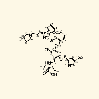 C[C@@](CO)(NCc1cc(Cl)c(OCc2cccc(-c3cccc4c3cnn4CCCN3CC[C@@H](O)C3)c2Br)cc1OCc1cncc(C#N)c1)C(=O)O